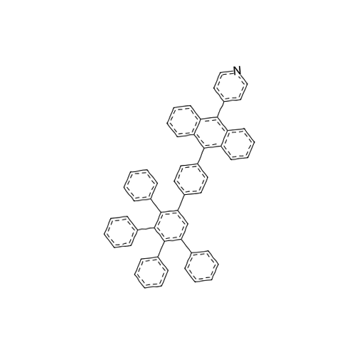 c1ccc(-c2cc(-c3ccc(-c4c5ccccc5c(-c5ccncc5)c5ccccc45)cc3)c(-c3ccccc3)c(-c3ccccc3)c2-c2ccccc2)cc1